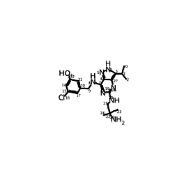 CC(C)c1[nH]nc2c(NCc3cc(O)cc(Cl)c3)nc(NCC(C)(C)N)nc12